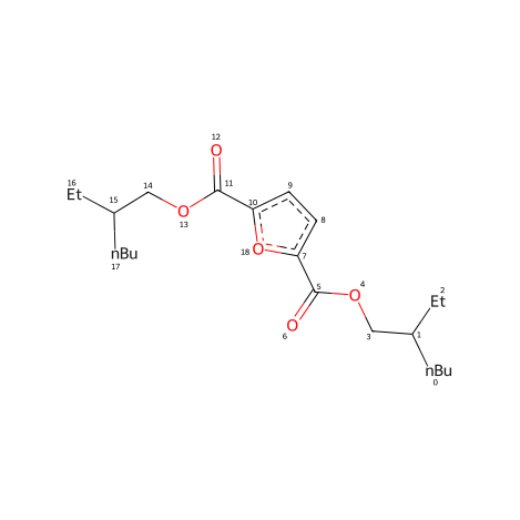 CCCCC(CC)COC(=O)c1ccc(C(=O)OCC(CC)CCCC)o1